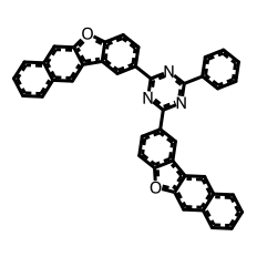 c1ccc(-c2nc(-c3ccc4oc5cc6ccccc6cc5c4c3)nc(-c3ccc4oc5cc6ccccc6cc5c4c3)n2)cc1